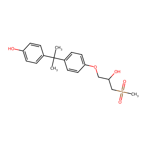 CC(C)(c1ccc(O)cc1)c1ccc(OCC(O)CS(C)(=O)=O)cc1